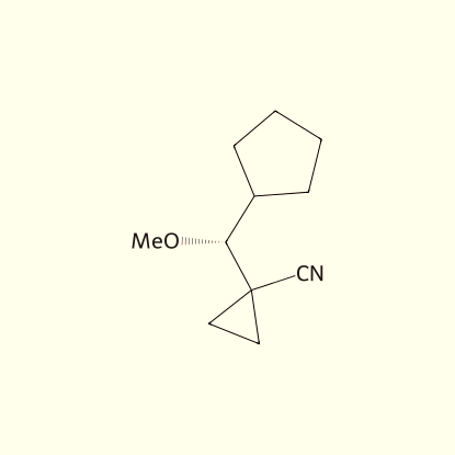 CO[C@H](C1CCCC1)C1(C#N)CC1